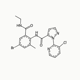 CCNC(=O)c1cc(Br)cc(C)c1NC(=O)c1ccnn1-c1ncccc1Cl